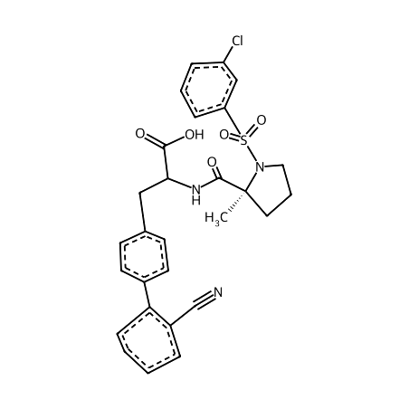 C[C@@]1(C(=O)NC(Cc2ccc(-c3ccccc3C#N)cc2)C(=O)O)CCCN1S(=O)(=O)c1cccc(Cl)c1